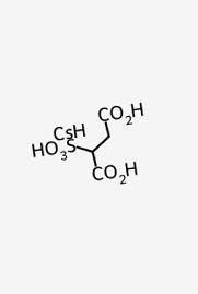 O=C(O)CC(C(=O)O)S(=O)(=O)O.[CsH]